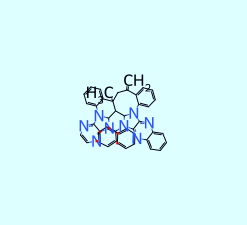 C=C1CC2(C)c3ccccc3N3c4nccnc4N(c4ccccc4)C3C2C2N(c3ccccc3)c3nc4ccccc4nc3N2c2ccccc21